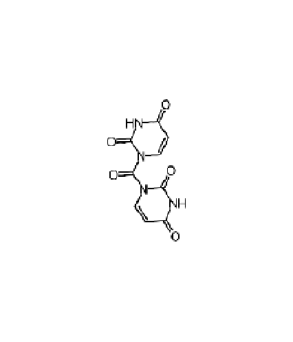 O=C(n1ccc(=O)[nH]c1=O)n1ccc(=O)[nH]c1=O